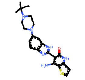 CC(C)(C)N1CCN(c2ccc3nc(-c4c(N)c5sccc5[nH]c4=O)[nH]c3c2)CC1